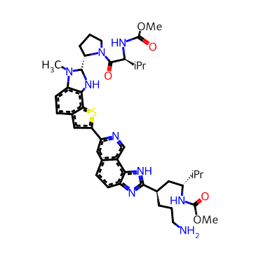 COC(=O)N[C@H](C(=O)N1CCC[C@H]1C1Nc2c(ccc3cc(-c4cc5ccc6nc([C@H](CCCN)C[C@@H](NC(=O)OC)C(C)C)[nH]c6c5cn4)sc23)N1C)C(C)C